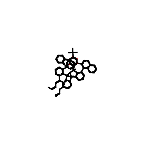 C\C=C/C=C(\C=C/CC=S)c1cccc(-c2ccccc2)c1[N+]12c3ccccc3[N+]13c1cccc4c1[N+]1(c5c(ccc6c7ccccc7n(c56)-c5cc(C(C)(C)C)cc[n+]51)-c1ccc5ccccc5c1-4)C32